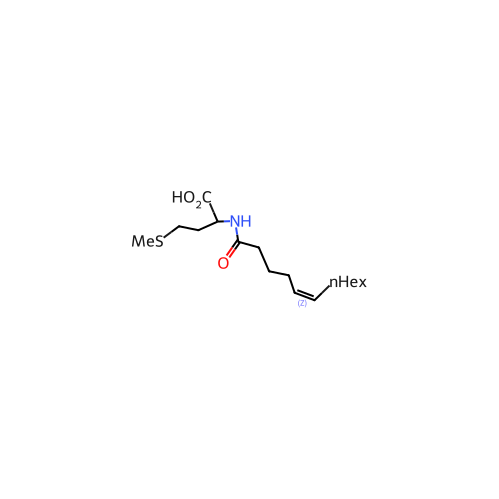 CCCCCC/C=C\CCCC(=O)NC(CCSC)C(=O)O